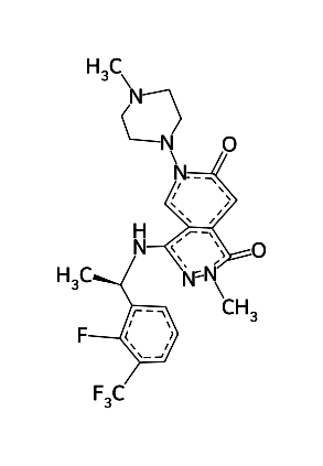 C[C@@H](Nc1nn(C)c(=O)c2cc(=O)n(N3CCN(C)CC3)cc12)c1cccc(C(F)(F)F)c1F